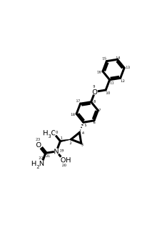 CC([C@@H]1C[C@H]1c1ccc(OCc2ccccc2)cc1)N(O)C(N)=O